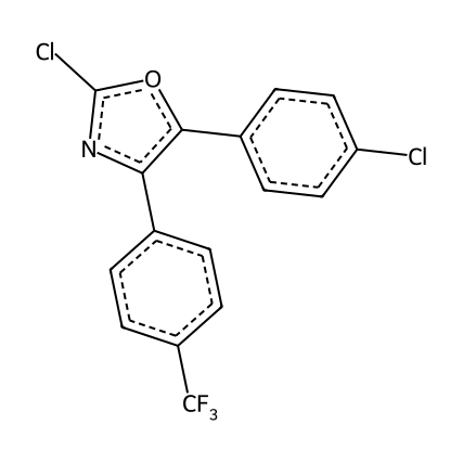 FC(F)(F)c1ccc(-c2nc(Cl)oc2-c2ccc(Cl)cc2)cc1